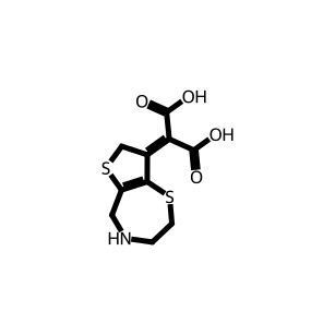 O=C(O)C(C(=O)O)=C1CSC2=C1SCCNC2